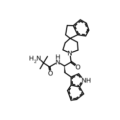 CC(C)(N)C(=O)N[C@H](Cc1c[nH]c2ccccc12)C(=O)N1CCC2(CCc3ccccc32)CC1